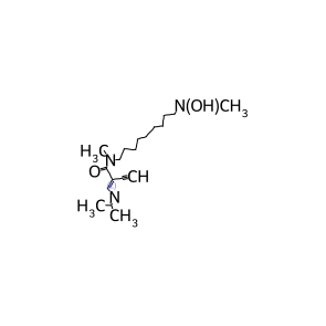 C#C/C(=C\N=C(C)C)C(=O)N(C)CCCCCCCCCN(C)O